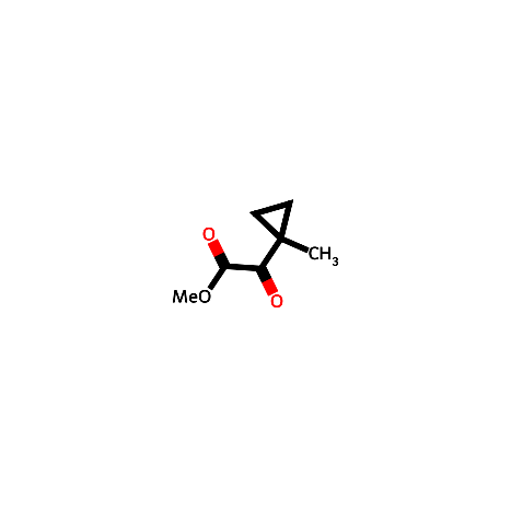 COC(=O)C(=O)C1(C)CC1